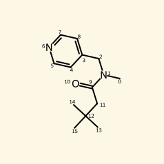 CN(Cc1ccncc1)C(=O)CC(C)(C)C